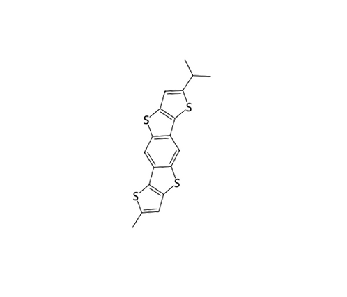 Cc1cc2sc3cc4c(cc3c2s1)sc1cc(C(C)C)sc14